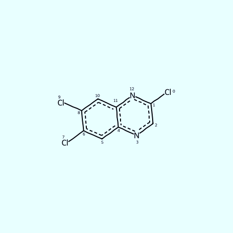 Clc1cnc2cc(Cl)c(Cl)cc2n1